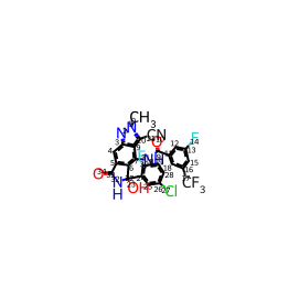 Cn1nc2cc3c(c(NC(=O)c4cc(F)cc(C(F)(F)F)c4)c2c1C#N)C(O)(c1cc(Cl)ccc1F)NC3=O